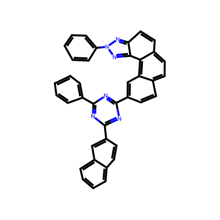 c1ccc(-c2nc(-c3ccc4ccccc4c3)nc(-c3ccc4ccc5ccc6nn(-c7ccccc7)nc6c5c4c3)n2)cc1